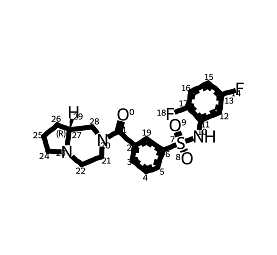 O=C(c1cccc(S(=O)(=O)Nc2cc(F)ccc2F)c1)N1CCN2CCC[C@@H]2C1